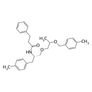 Cc1ccc(COC(C)COC[C@H](Cc2ccc(C)cc2)NC(=O)CCc2ccccc2)cc1